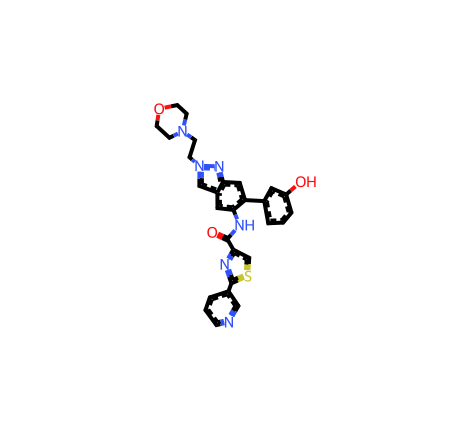 O=C(Nc1cc2cn(CCN3CCOCC3)nc2cc1-c1cccc(O)c1)c1csc(-c2cccnc2)n1